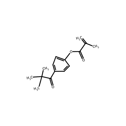 C=C(C)C(=O)Oc1ccc(C(=O)C(C)(C)C)cc1